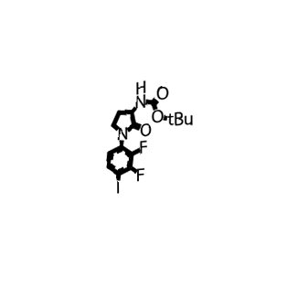 CC(C)(C)OC(=O)NC1CCN(c2ccc(I)c(F)c2F)C1=O